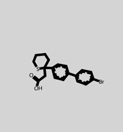 O=C(O)CC1(c2ccc(-c3ccc(Br)cc3)cc2)CCCCS1